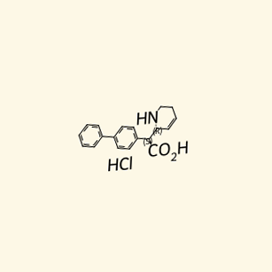 Cl.O=C(O)[C@@H](c1ccc(-c2ccccc2)cc1)[C@H]1C=CCCN1